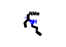 C=CCCN/C(C=C)=C\NC